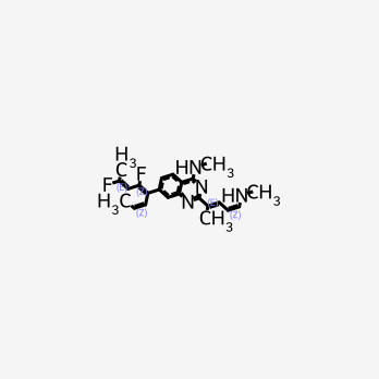 C\C=C/C(=C(F)\C=C(/C)F)c1ccc2c(NC)nc(/C(C)=C/C=C\NC)nc2c1